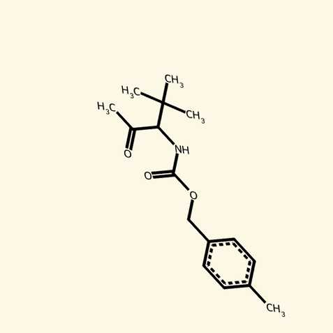 CC(=O)C(NC(=O)OCc1ccc(C)cc1)C(C)(C)C